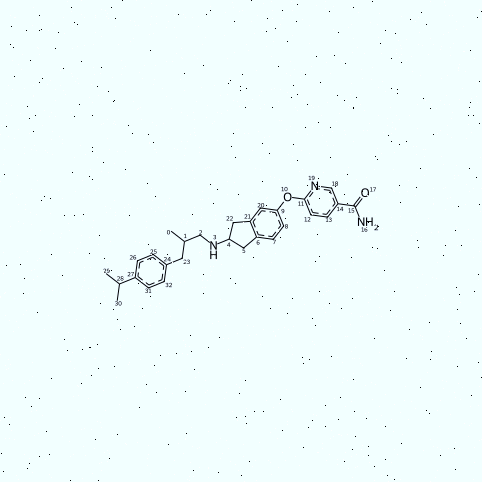 CC(CNC1Cc2ccc(Oc3ccc(C(N)=O)cn3)cc2C1)Cc1ccc(C(C)C)cc1